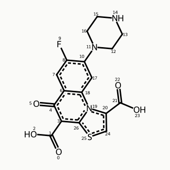 O=C(O)c1c(=O)c2cc(F)c(N3CCNCC3)cc2n2c(C(=O)O)csc12